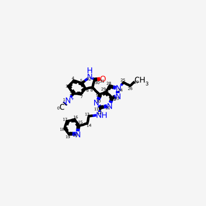 [C-]#[N+]c1ccc2c(c1)C(c1nc(NCCc3ccccn3)nc3nn(CCC)cc13)C(=O)N2